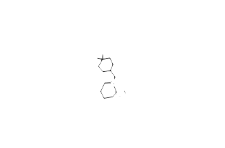 CCC1(Cl)CCC(CN2CCCC[C@H]2CO)CC1